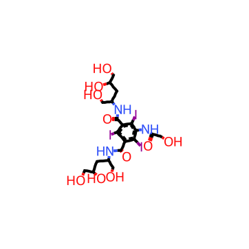 O=C(CO)Nc1c(I)c(C(=O)NC(CO)CC(O)CO)c(I)c(C(=O)NC(CO)CC(O)CO)c1I